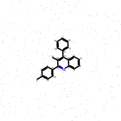 Cc1ccc(-c2nc3ccccc3c(-c3ccccc3)c2C)cc1